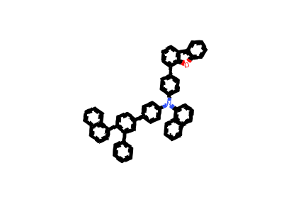 c1ccc(-c2cc(-c3ccc(N(c4ccc(-c5cccc6c5oc5ccccc56)cc4)c4cccc5ccccc45)cc3)ccc2-c2cccc3ccccc23)cc1